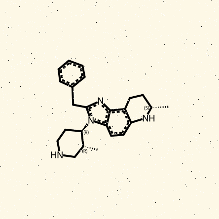 C[C@@H]1CNCC[C@H]1n1c(Cc2ccccc2)nc2c3c(ccc21)N[C@@H](C)CC3